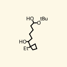 CCC1(C(O)CCCCC(O)OC(C)(C)C)CCC1